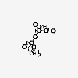 Cc1c(-c2ccc(-c3ccccc3)cc2)cc(-c2ccc(-c3ccc4c(c3)Sc3ccccc3C43c4ccccc4C(C)(C)c4ccccc43)cc2)nc1-c1ccccc1